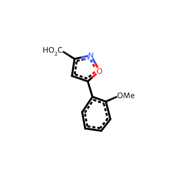 COc1ccccc1-c1cc(C(=O)O)no1